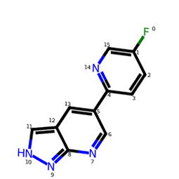 Fc1ccc(-c2cnc3n[nH]cc3c2)nc1